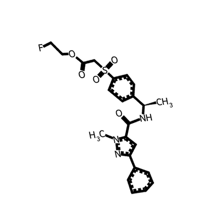 C[C@@H](NC(=O)c1cc(-c2ccccc2)nn1C)c1ccc(S(=O)(=O)CC(=O)OCCF)cc1